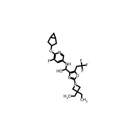 CCC1(CC)CN(c2nc(C(O)Nc3cnc(OC4CC5CC5C4)c(F)c3)c(CC(F)(F)F)o2)C1